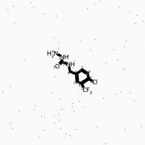 NNC(=O)NCc1ccc(Cl)c(C(F)(F)F)c1